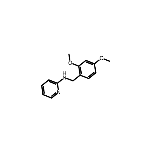 COc1ccc(CNc2ccccn2)c(OC)c1